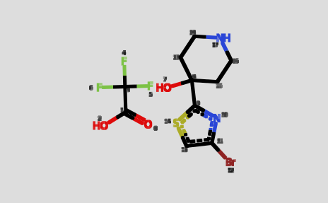 O=C(O)C(F)(F)F.OC1(c2nc(Br)cs2)CCNCC1